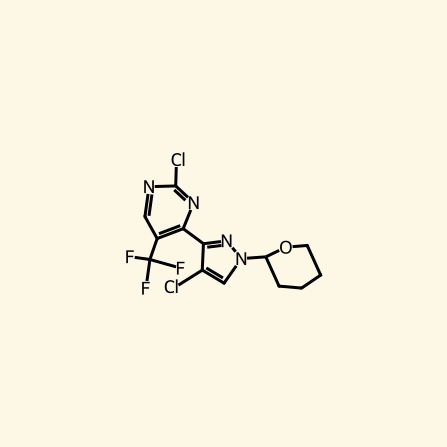 FC(F)(F)c1cnc(Cl)nc1-c1nn(C2CCCCO2)cc1Cl